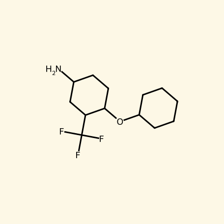 NC1CCC(OC2CCCCC2)C(C(F)(F)F)C1